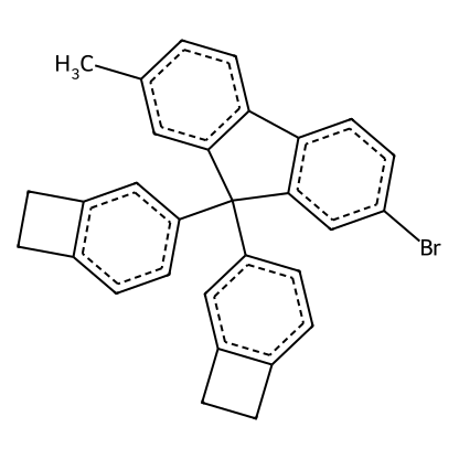 Cc1ccc2c(c1)C(c1ccc3c(c1)CC3)(c1ccc3c(c1)CC3)c1cc(Br)ccc1-2